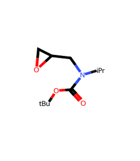 CC(C)N(CC1CO1)C(=O)OC(C)(C)C